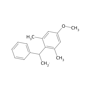 [CH2]C(c1ccccc1)c1c(C)cc(OC)cc1C